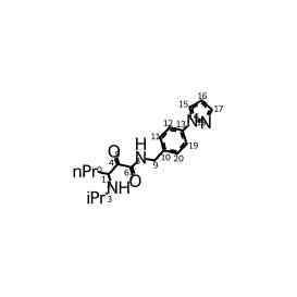 CCCC(NC(C)C)C(=O)C(=O)NCc1ccc(-n2cccn2)cc1